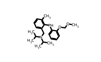 COCOc1ccccc1Pc1c(C)cccc1CN(C(C)C)C(C)C